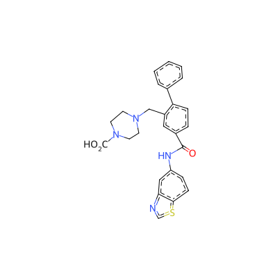 O=C(Nc1ccc2scnc2c1)c1ccc(-c2ccccc2)c(CN2CCN(C(=O)O)CC2)c1